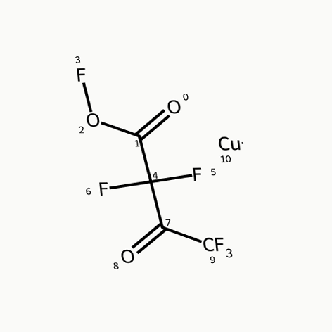 O=C(OF)C(F)(F)C(=O)C(F)(F)F.[Cu]